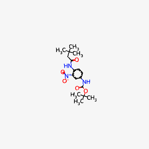 CC(C)(C)CC(=O)Nc1ccc(NC(=O)OC(C)(C)C)cc1[N+](=O)[O-]